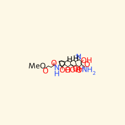 COC(=O)CCC(=O)Nc1ccc2c(c1O)C(=O)C1=C(O)[C@]3(O)C(=O)C(C(N)=O)=C(O)[C@H](N(C)C)[C@H]3C[C@@H]1C2